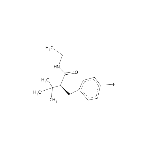 CCNC(=O)[C@@H](Cc1ccc(F)cc1)C(C)(C)C